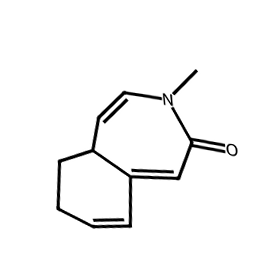 CN1C=CC2CCC=CC2=CC1=O